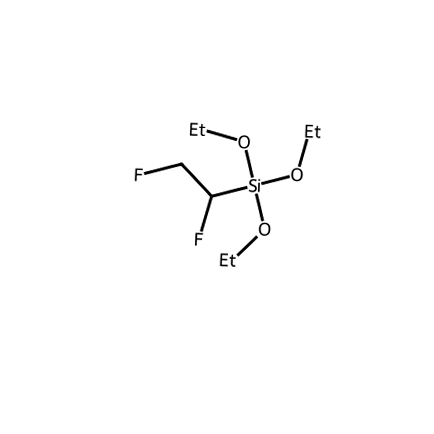 CCO[Si](OCC)(OCC)C(F)CF